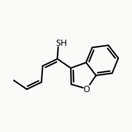 C/C=C\C=C(\S)c1coc2ccccc12